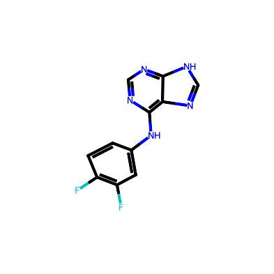 Fc1ccc(Nc2ncnc3[nH]cnc23)cc1F